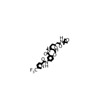 CN1C(=O)c2cc(NC(=O)c3ccc(C(F)(F)F)cn3)ccc2OC[C@@H]2O[C@H](CC(=O)NC3(C)COC3)CC[C@@H]21